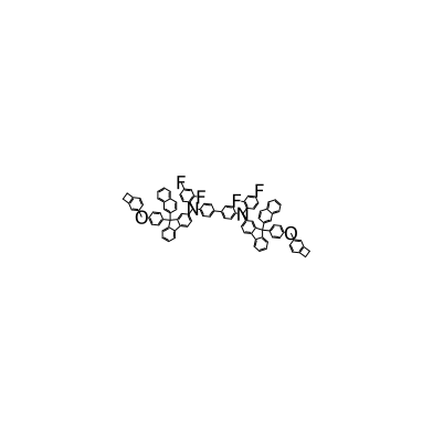 Fc1ccc(N(c2ccc(-c3ccc(N(c4ccc5c(c4)C(c4ccc(Oc6ccc7c(c6)CC7)cc4)(c4ccc6ccccc6c4)c4ccccc4-5)c4ccc(F)cc4F)cc3)cc2)c2ccc3c(c2)C(c2ccc(Oc4ccc5c(c4)CC5)cc2)(c2ccc4ccccc4c2)c2ccccc2-3)c(F)c1